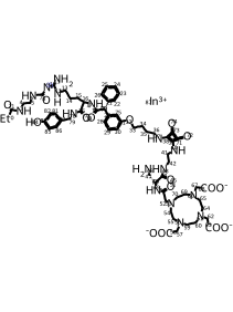 CCC(=O)NCCNC(=O)/N=C(/N)NCCCC(NC(=O)[C@H](c1ccccc1)c1cccc(OCCCCNc2c(NCCNC(=O)[C@@H](CN)NC(=O)CN3CCN(CC(=O)[O-])CCN(CC(=O)[O-])CCN(CC(=O)[O-])CC3)c(=O)c2=O)c1)C(=O)NCc1ccc(O)cc1.[In+3]